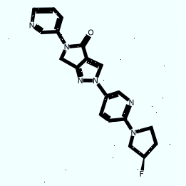 O=C1c2cn(-c3ccc(N4CC[C@@H](F)C4)nc3)nc2CN1c1cccnc1